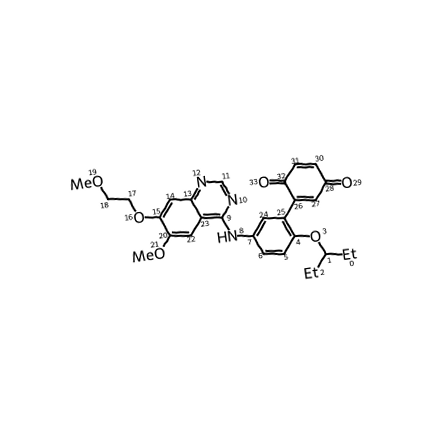 CCC(CC)Oc1ccc(Nc2ncnc3cc(OCCOC)c(OC)cc23)cc1C1=CC(=O)C=CC1=O